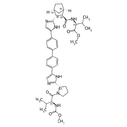 COC(=O)N[C@H](C(=O)N1CCC[C@H]1c1ncc(-c2ccc(-c3ccc(-c4cnc([C@@H]5[C@H]6CC[C@H](C6)[C@H]5C(=O)N[C@H](C(=O)OC)C(C)C)[nH]4)cc3)cc2)[nH]1)C(C)C